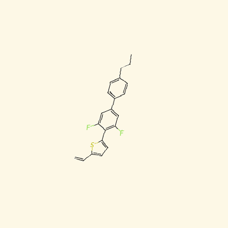 C=Cc1ccc(-c2c(F)cc(-c3ccc(CCC)cc3)cc2F)s1